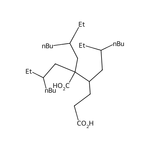 CCCCC(CC)CC(CCC(=O)O)C(CC(CC)CCCC)(CC(CC)CCCC)C(=O)O